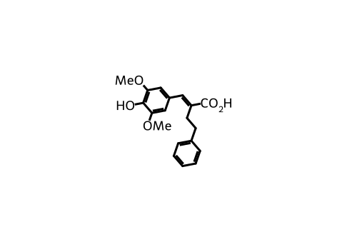 COc1cc(/C=C(\CCc2ccccc2)C(=O)O)cc(OC)c1O